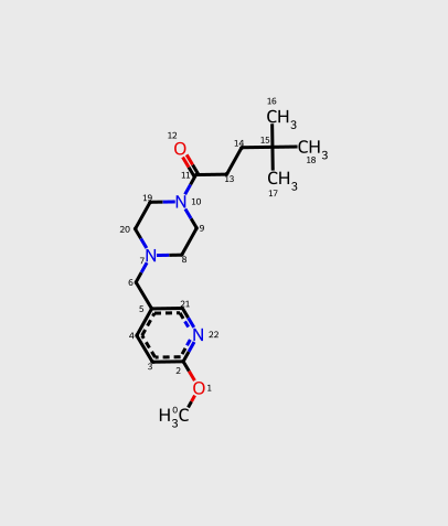 COc1ccc(CN2CCN(C(=O)CCC(C)(C)C)CC2)cn1